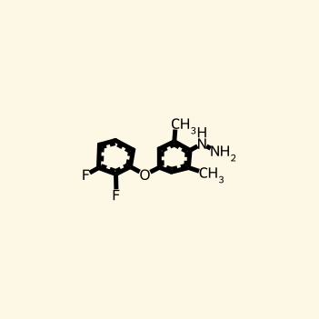 Cc1cc(Oc2cccc(F)c2F)cc(C)c1NN